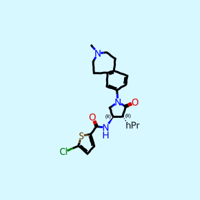 CCC[C@H]1C(=O)N(c2ccc3c(c2)CCN(C)CC3)C[C@@H]1NC(=O)c1ccc(Cl)s1